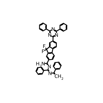 C=C(/N=C(\N=C(/N)c1ccc2c(c1)C(F)(F)c1cc(-c3nc(-c4ccccc4)nc(-c4ccccc4)n3)ccc1-2)c1ccccc1)c1ccccc1